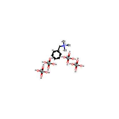 CC[N+](CC)(CC)Cc1ccccc1.[O]=[Mo](=[O])([O-])[O-].[O]=[Mo](=[O])([O-])[O-].[O]=[Mo](=[O])([O-])[O-].[O]=[Mo](=[O])([O-])[O-]